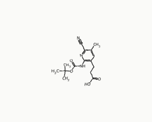 Cc1cc(CCC(=O)O)c(NC(=O)OC(C)(C)C)nc1C#N